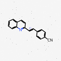 N#Cc1ccc(/C=C/c2ccc3ccccc3n2)cc1